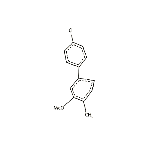 COc1cc(-c2ccc(Cl)cc2)ccc1C